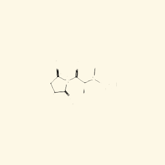 C[C@@H](C(=O)N1C(=O)CCC1=O)N(C)C(=O)O